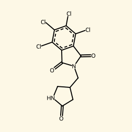 O=C1CC(CN2C(=O)c3c(Cl)c(Cl)c(Cl)c(Cl)c3C2=O)CN1